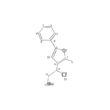 Cc1oc(-c2ccccc2)cc1C(Cl)CC(C)(C)C